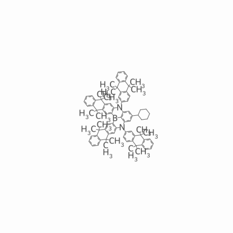 CC1(C)c2ccccc2C(C)(C)c2cc(N3c4cc5c(cc4B4c6cc7c(cc6N(c6ccc8c(c6)C(C)(C)c6ccccc6C8(C)C)c6cc(C8CCCCC8)cc3c64)C(C)(C)c3ccccc3C7(C)C)C(C)(C)c3ccccc3C5(C)C)ccc21